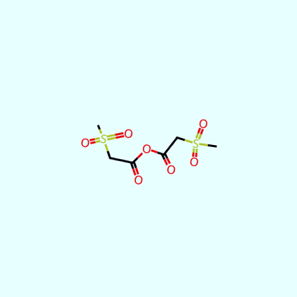 CS(=O)(=O)CC(=O)OC(=O)CS(C)(=O)=O